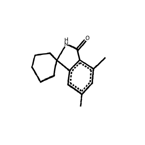 Cc1cc(C)c2c(c1)C1(CCCCC1)NC2=O